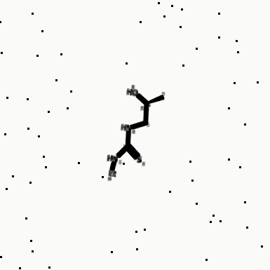 CCNC(=S)NC[C@H](C)O